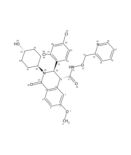 COc1ccc2c(c1)[C@@H](C(=O)NOCc1ccccn1)[C@H](c1ccc(Cl)cc1Cl)N([C@H]1CC[C@H](O)CC1)C2=O